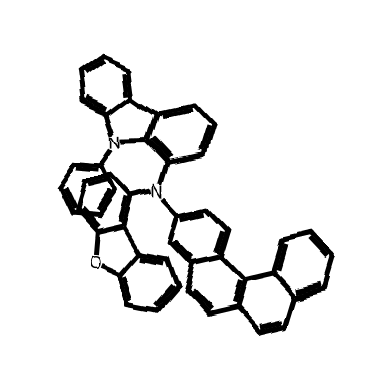 c1ccc(-n2c3ccccc3c3cccc(N(c4ccc5c(ccc6ccc7ccccc7c65)c4)c4cccc5oc6ccccc6c45)c32)cc1